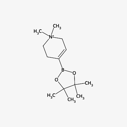 CC1(C)OB(C2=CC[N+](C)(C)CC2)OC1(C)C